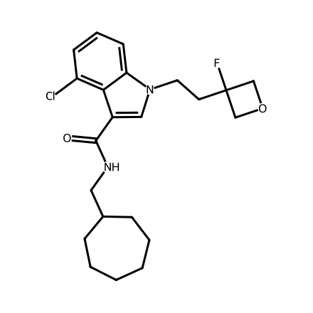 O=C(NCC1CCCCCC1)c1cn(CCC2(F)COC2)c2cccc(Cl)c12